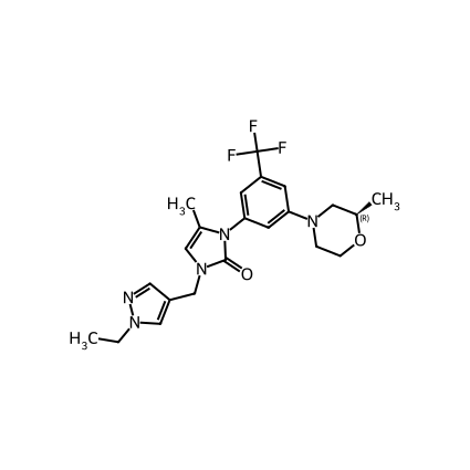 CCn1cc(Cn2cc(C)n(-c3cc(N4CCO[C@H](C)C4)cc(C(F)(F)F)c3)c2=O)cn1